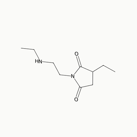 CCNCCN1C(=O)CC(CC)C1=O